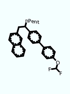 CCCCCC(Cc1ccc2ccccc2c1)c1ccc(-c2ccc(OC(F)F)cc2)cc1